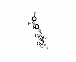 O=C1CN(OC(=O)C(F)(F)F)C(=O)N1C/C=C/c1ccc(Nc2ccc(F)cc2)nc1